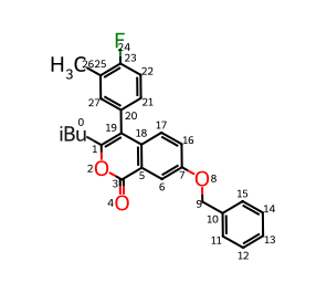 CCC(C)c1oc(=O)c2cc(OCc3ccccc3)ccc2c1-c1ccc(F)c(C)c1